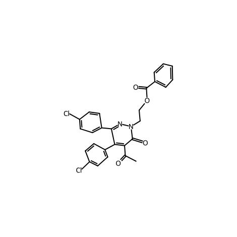 CC(=O)c1c(-c2ccc(Cl)cc2)c(-c2ccc(Cl)cc2)nn(CCOC(=O)c2ccccc2)c1=O